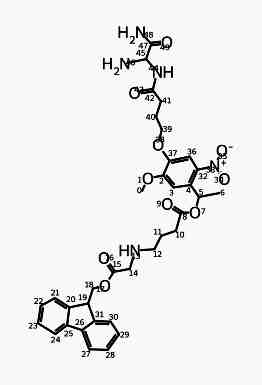 COc1cc(C(C)OC(=O)CCCNCC(=O)OCC2c3ccccc3-c3ccccc32)c([N+](=O)[O-])cc1OCCCC(=O)NC(N)C(N)=O